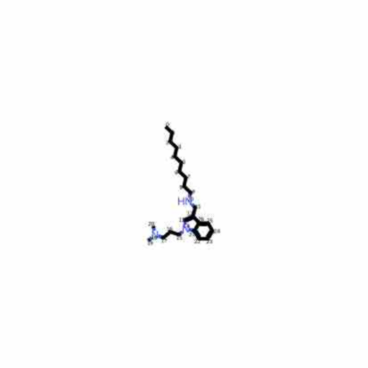 CCCCCCCCCCNCc1cn(CCCN(C)C)c2ccccc12